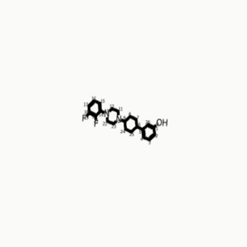 Oc1cccc(C2CCC(N3CCN(c4cccc(F)c4F)CC3)CC2)c1